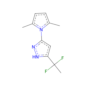 Cc1ccc(C)n1-c1cc(C(C)(F)F)[nH]n1